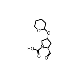 O=C[C@@H]1C[C@@H](OC2CCCCO2)CN1C(=O)O